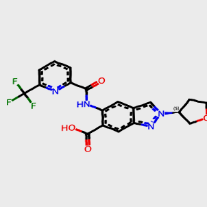 O=C(Nc1cc2cn([C@H]3CCOC3)nc2cc1C(=O)O)c1cccc(C(F)(F)F)n1